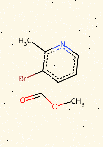 COC=O.Cc1ncccc1Br